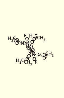 CC(C)COc1ccc(C(OC(=O)C(=O)OC(C(=O)N(Cc2ccc(F)cc2)C2CCN(CCC3OCC[C@@H](C)O3)CC2)c2ccc(OCC(C)C)cc2)C(=O)N(Cc2ccc(F)cc2)C2CCN(CCC3OCC[C@@H](C)O3)CC2)cc1